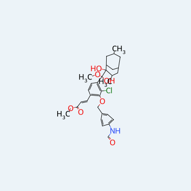 COC(=O)/C=C/c1ccc(C(O)(OC)C2(O)C(C)CC3CC(C)CC2C3)c(Cl)c1OCc1ccc(NC=O)cc1